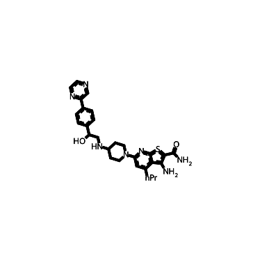 CCCc1cc(N2CCC(NCC(O)c3ccc(-c4cnccn4)cc3)CC2)nc2sc(C(N)=O)c(N)c12